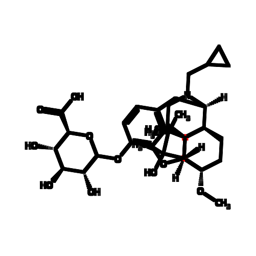 CO[C@@]12CC[C@@]3(C[C@@H]1[C@](C)(O)C(C)(C)C)[C@H]1Cc4ccc(OC5O[C@H](C(=O)O)[C@@H](O)[C@H](O)[C@H]5O)c5c4[C@@]3(CCN1CC1CC1)[C@H]2O5